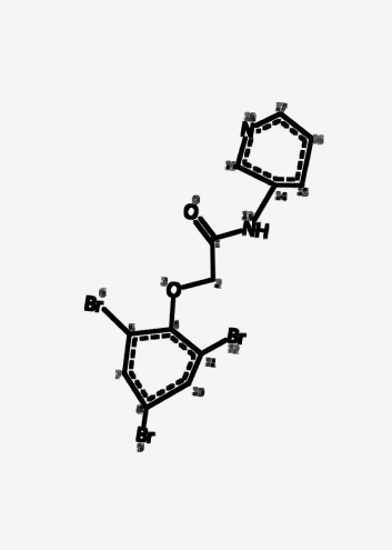 O=C(COc1c(Br)cc(Br)cc1Br)Nc1cccnc1